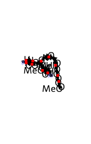 C/C=C1\C[C@H]2C=Nc3cc(OCc4cc(OCCN5CCN(C(=O)CCC(C)(C)SCC(=O)NCCOCCOCCOCCOCCC(=O)OC)CC5)cc(COc5cc6c(cc5OC)C(=O)N5C/C(=C/C)C[C@H]5C=N6)n4)c(OC)cc3C(=O)N2C1